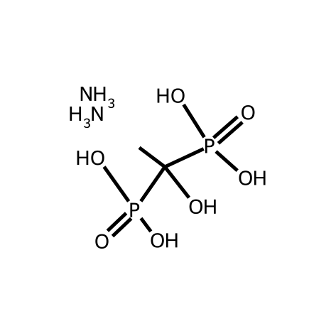 CC(O)(P(=O)(O)O)P(=O)(O)O.N.N